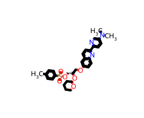 Cc1ccc(S(=O)(=O)OC[C@H](COc2ccc3nc(-c4ccc(N(C)C)cn4)ccc3c2)OC2CCCCO2)cc1